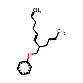 C=CCCC=CC(CC=CC)COc1ccccc1